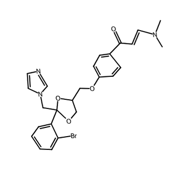 CN(C)/C=C/C(=O)c1ccc(OCC2COC(Cn3ccnc3)(c3ccccc3Br)O2)cc1